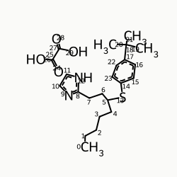 CCCCCC(CCc1ncc[nH]1)Sc1ccc(C(C)(C)C)cc1.O=C(O)C(=O)O